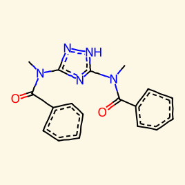 CN(C(=O)c1ccccc1)c1n[nH]c(N(C)C(=O)c2ccccc2)n1